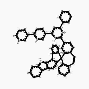 C1=Cc2ccc(-c3nc(-c4ccccc4)cc(-c4ccc(-c5cccnc5)nc4)n3)cc2C2(c3ccccc31)c1ccccc1-c1c2ccc2c1oc1ccccc12